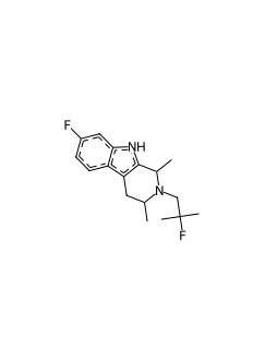 CC1Cc2c([nH]c3cc(F)ccc23)C(C)N1CC(C)(C)F